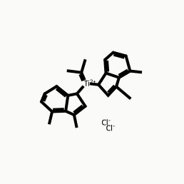 CC1=C[CH]([Ti+2](=[C](C)C)[CH]2C=C(C)c3c(C)cccc32)c2cccc(C)c21.[Cl-].[Cl-]